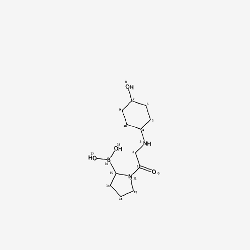 O=C(CNC1CCC(O)CC1)N1CCCC1B(O)O